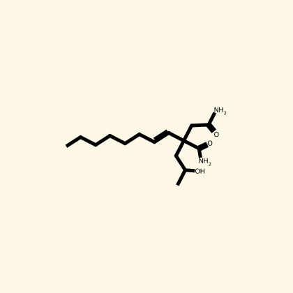 CCCCCCC=CC(CC(N)=O)(CC(C)O)C(N)=O